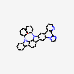 c1ccc(-n2c3ccccc3c3ccc4c5cc6c(cc5n(-c5ccccc5)c4c32)c2cccnc2c2nccn62)cc1